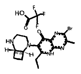 CCc1[nH]c2nc(C)c(Br)nc2c(=O)c1N1CCN[C@H]2CC[C@@H]21.O=C(O)C(F)(F)F